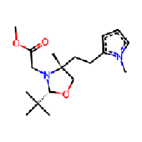 COC(=O)CN1[C@@H](C(C)(C)C)OC[C@@]1(C)CCc1cccn1C